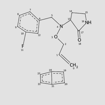 C=CCON(Cc1cccc(F)c1)C1CCNC1=O.c1cc2ccc1-2